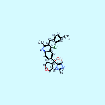 CCc1nc2ccc(C(O)(c3cnc(C)n3C)C3CCOCC3)cc2c(Cl)c1Cc1ccc(C(F)(F)F)cc1